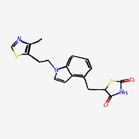 Cc1ncsc1CCn1ccc2c(CC3SC(=O)NC3=O)cccc21